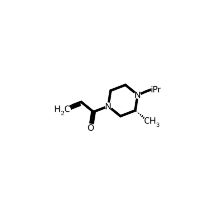 C=CC(=O)N1CCN(C(C)C)[C@H](C)C1